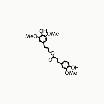 COc1cc(CCC(=O)OC/C=C/c2cc(OC)c(O)c(OC)c2)ccc1O